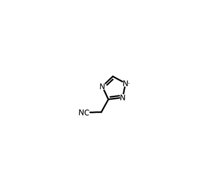 N#CCC1=N[N]C=N1